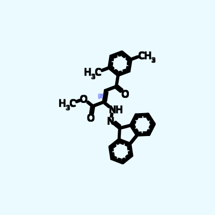 COC(=O)/C(=C/C(=O)c1cc(C)ccc1C)NN=C1c2ccccc2-c2ccccc21